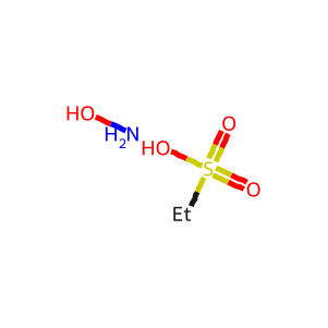 CCS(=O)(=O)O.NO